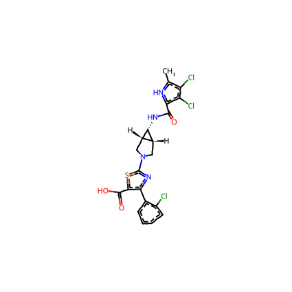 Cc1[nH]c(C(=O)N[C@@H]2[C@@H]3CN(c4nc(-c5ccccc5Cl)c(C(=O)O)s4)C[C@@H]32)c(Cl)c1Cl